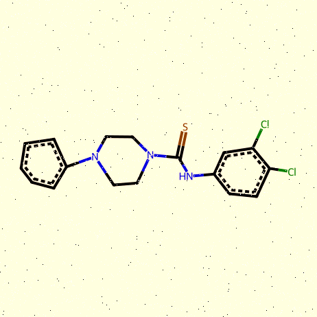 S=C(Nc1ccc(Cl)c(Cl)c1)N1CCN(c2ccccc2)CC1